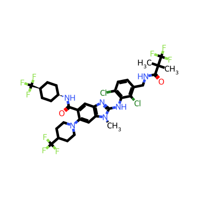 Cn1c(Nc2c(Cl)ccc(CNC(=O)C(C)(C)C(F)(F)F)c2Cl)nc2cc(C(=O)N[C@H]3CC[C@H](C(F)(F)F)CC3)c(N3CCC(C(F)(F)F)CC3)cc21